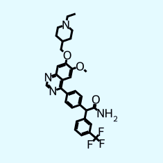 CCN1CCC(COc2cc3ncnc(-c4ccc(C(C(N)=O)c5cccc(C(F)(F)F)c5)cc4)c3cc2OC)CC1